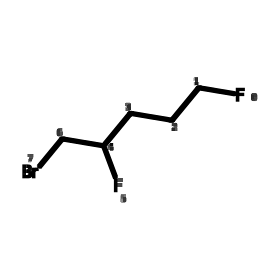 FCCCC(F)CBr